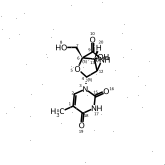 Cc1cn([C@@H]2O[C@]3(CO)C(=O)NC2[C@H]3O)c(=O)[nH]c1=O